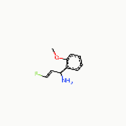 COc1ccccc1C(N)C=CF